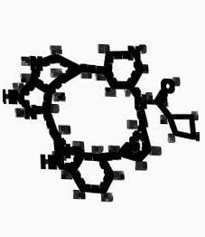 O=C(C1CCC1)n1c2cncc(c2)c2cnc3[nH]nc(c4nc5c(cccc5c5ccc1s5)[nH]4)c3c2